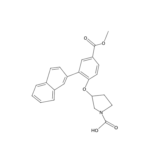 COC(=O)c1ccc(OC2CCN(C(=O)O)C2)c(-c2ccc3ccccc3c2)c1